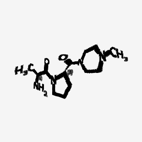 C[C@H](N)C(=O)N1CCC[C@H]1C(=O)N1CCN(C)CC1